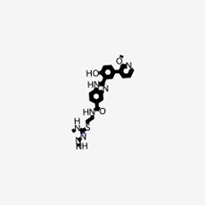 CN/C(=N\N=N)SCCNC(=O)c1ccc2[nH]c(-c3cc(-c4cccnc4OC)ccc3O)nc2c1